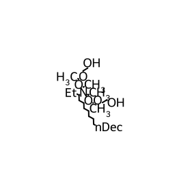 CCCCCCCCCCCCCCCCCC(CC)N(C(C)OC(C)OCCO)C(C)OC(C)OCCO